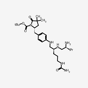 CC(C)[C@H](N)CN[C@@H](CCCNC(N)=O)CNc1ccc(C[C@H]2CC(C)(C)C(=O)N2C(=O)OC(C)(C)C)cc1